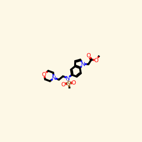 COC(=O)Cn1ccc2cc(N(CCN3CCOCC3)S(C)(=O)=O)ccc21